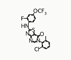 Cc1cccc(Cl)c1-n1cnc2nc(Nc3ccc(OC(F)(F)F)cc3F)sc2c1=O